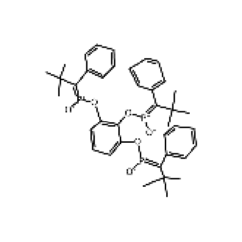 CC(C)(C)C(c1ccccc1)=[P+]([O-])Oc1cccc(O[P+]([O-])=C(c2ccccc2)C(C)(C)C)c1O[P+]([O-])=C(c1ccccc1)C(C)(C)C